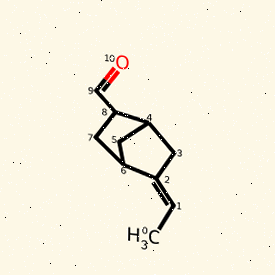 CC=C1CC2CC1CC2C=O